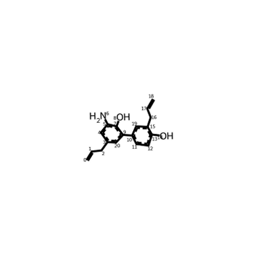 C=CCc1cc(N)c(O)c(-c2ccc(O)c(CC=C)c2)c1